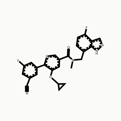 CN(Cc1ccc(F)c2cn[nH]c12)C(=O)c1cnc(-c2cc(F)cc(C#N)c2)c(OC2CC2)c1